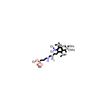 CCO[Si](CCCNC[SiH2]CCc1c(N(CC)CC)c([SiH](C)C)cc(C(C)[Si](OC)(OC)OC)c1[SiH](C)C)(OCC)OCC